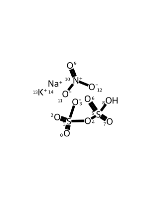 O=S(=O)([O-])OS(=O)(=O)O.O=[N+]([O-])[O-].[K+].[Na+]